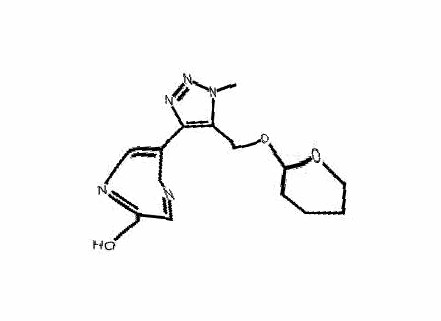 Cn1nnc(-c2cnc(O)cn2)c1COC1CCCCO1